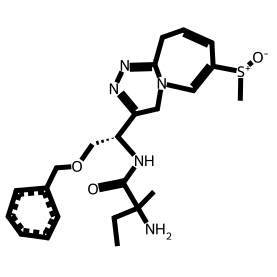 CCC(C)(N)C(=O)N[C@H](COCc1ccccc1)C1=NN=C2CC=CC([S+](C)[O-])=CN2C1